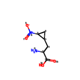 NC(CC1CC1[N+](=O)[O-])C(=O)O